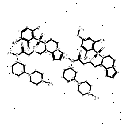 COc1cc(C)c(S(=O)(=O)N2CCn3cccc3C2CCCC(=O)N(C)[C@H]2CCC[C@H](N3CCN(C)CC3)C2)c(C)c1.Cc1ccc(Cl)c(S(=O)(=O)N2CCn3cccc3C2COCC(=O)N(C)[C@H]2CCC[C@H](N3CCN(C)CC3)C2)c1Cl